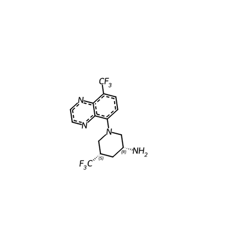 N[C@@H]1C[C@H](C(F)(F)F)CN(c2ccc(C(F)(F)F)c3nccnc23)C1